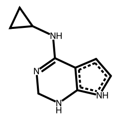 c1cc2c([nH]1)NCN=C2NC1CC1